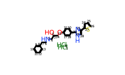 Cl.Cl.OC(CNCCc1ccccc1)COc1ccc(-c2nc(-c3cccs3)c[nH]2)cc1